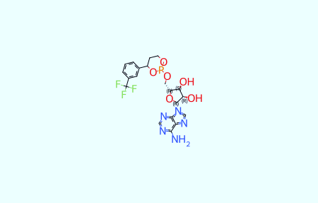 Nc1ncnc2c1ncn2[C@@H]1O[C@H](COP2OCCC(c3cccc(C(F)(F)F)c3)O2)[C@@H](O)[C@H]1O